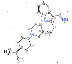 CC(=O)NCc1c(C=N)c2ccccc2n1C1CCN(C2CCC(=C(C)C)CC2)CC1